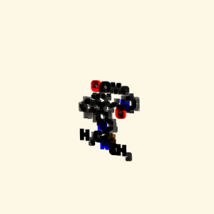 COC(=O)c1cc(/C=C/C(=O)N2CCCCC2)c(-c2ccc3nc(-c4sc(C)nc4C)ccc3c2)c(C2CCCCC2)c1